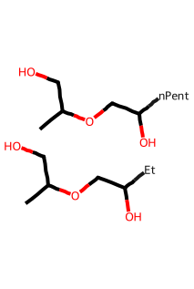 CCC(O)COC(C)CO.CCCCCC(O)COC(C)CO